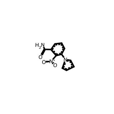 NC(=O)c1cccc(-n2cccc2)c1[N+](=O)[O-]